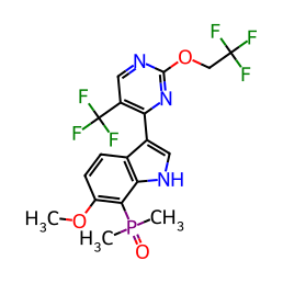 COc1ccc2c(-c3nc(OCC(F)(F)F)ncc3C(F)(F)F)c[nH]c2c1P(C)(C)=O